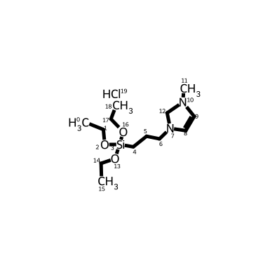 CCO[Si](CCCN1C=CN(C)C1)(OCC)OCC.Cl